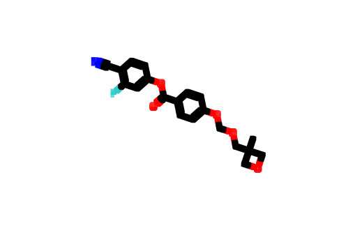 CC1(COCOc2ccc(C(=O)Oc3ccc(C#N)c(F)c3)cc2)COC1